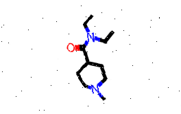 CCN(CC)C(=O)C1CCN(C)CC1